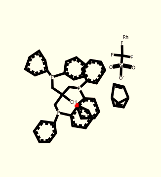 C1=CC2C=CC1C2.CC(CP(c1ccccc1)c1ccccc1)(CP(c1ccccc1)c1ccccc1)CP(c1ccccc1)c1ccccc1.O=S(=O)([O-])C(F)(F)F.[Rh]